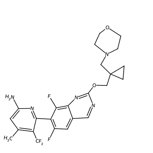 Cc1cc(N)nc(-c2c(F)cc3cnc(OCC4(CN5CCOCC5)CC4)nc3c2F)c1C(F)(F)F